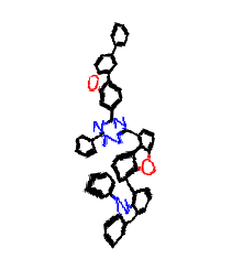 c1ccc(-c2ccc3oc4cc(-c5nc(-c6ccccc6)nc(-c6cccc7oc8c(-c9cccc%10c%11ccccc%11n(-c%11ccccc%11)c9%10)cccc8c67)n5)ccc4c3c2)cc1